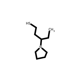 CCC(CCS)N1CCCC1